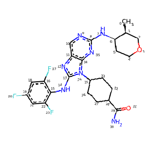 C[C@H]1COCCC1Nc1ncc2nc(Nc3c(F)cc(F)cc3F)n(C3CCC(C(N)=O)CC3)c2n1